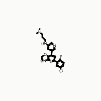 CN(C)CCCNc1cncc(-c2cc(-c3cc(Cl)ccc3F)nc3c2OCCN3)c1